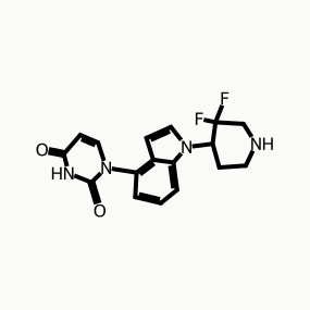 O=c1ccn(-c2cccc3c2ccn3C2CCNCC2(F)F)c(=O)[nH]1